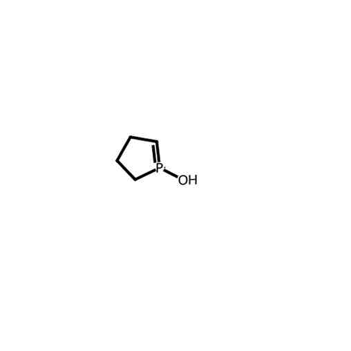 O[P]1=CCCC1